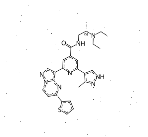 CCN(CC)[C@@H](C)CNC(=O)c1cc(-c2c[nH]nc2C)nc(-c2cnn3ccc(-c4cccs4)nc23)c1